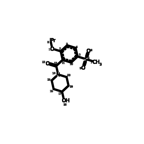 CC(C)Oc1ccc(S(C)(=O)=O)cc1C(=O)N1CCC(O)CC1